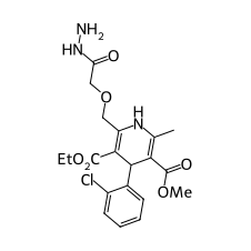 CCOC(=O)C1=C(COCC(=O)NN)NC(C)=C(C(=O)OC)C1c1ccccc1Cl